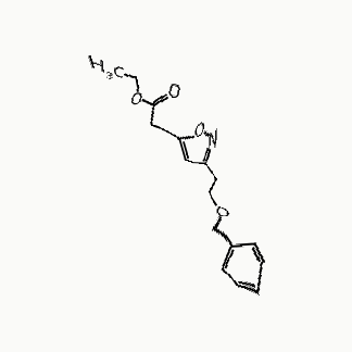 CCOC(=O)Cc1cc(CCOCc2ccccc2)no1